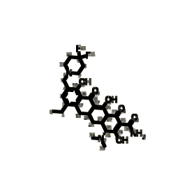 CCc1cc(CN2CCC(F)(F)CC2)c(O)c2c1CC1CC3C(C(=O)C(C(N)=O)=C(O)[C@@H]3N(C)C)C(O)=C1C2=O